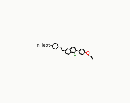 C=CCOc1ccc(-c2ccc3cc(CC[C@H]4CC[C@H](CCCCCCC)CC4)ccc3c2F)cc1